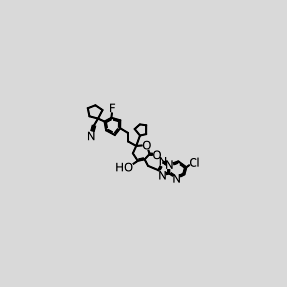 N#CC1(c2ccc(CCC3(C4CCCC4)CC(O)=C(Cc4nc5ncc(Cl)cn5n4)C(=O)O3)cc2F)CCCC1